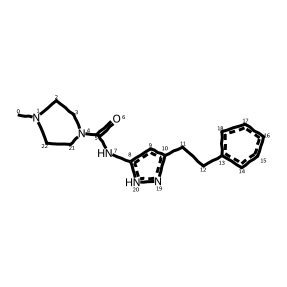 CN1CCN(C(=O)Nc2cc(CCc3ccccc3)n[nH]2)CC1